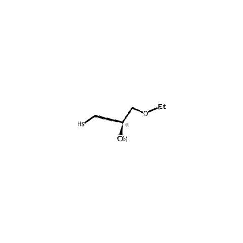 CCOC[C@@H](O)CS